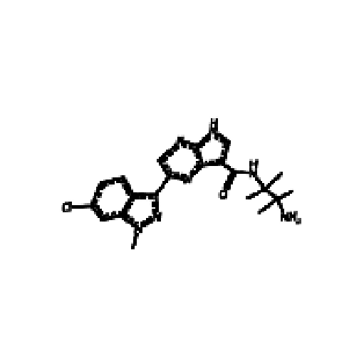 Cn1nc(-c2cnc3[nH]cc(C(=O)NC(C)(C)C(C)(C)N)c3n2)c2ccc(Cl)cc21